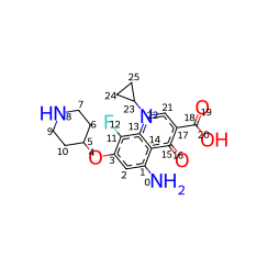 Nc1cc(OC2CCNCC2)c(F)c2c1c(=O)c(C(=O)O)cn2C1CC1